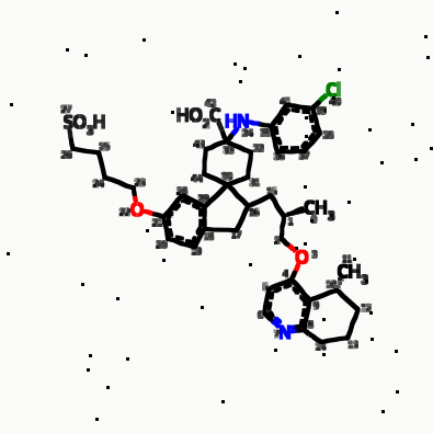 C[C@@H](COc1ccnc2c1[C@H](C)CCC2)CC1Cc2ccc(OCCCCS(=O)(=O)O)cc2C12CCC(Nc1cccc(Cl)c1)(C(=O)O)CC2